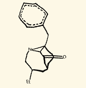 CCC1CN2CCC1C(=O)C2Cc1ccccc1